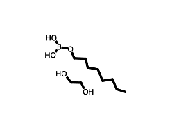 CCCCCCCCOB(O)O.OCCO